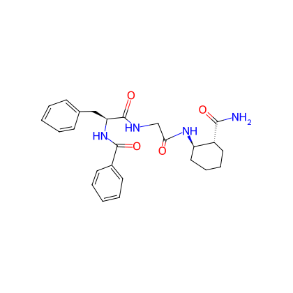 NC(=O)[C@@H]1CCCC[C@H]1NC(=O)CNC(=O)[C@H](Cc1ccccc1)NC(=O)c1ccccc1